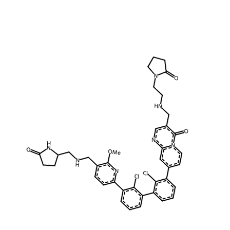 COc1nc(-c2cccc(-c3cccc(-c4ccn5c(=O)c(CNCCN6CCCC6=O)cnc5c4)c3Cl)c2Cl)ccc1CNCC1CCC(=O)N1